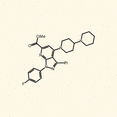 COC(=O)c1cc(N2CCC(N3CCCCC3)CC2)c2c(C(C)C)nn(-c3ccc(F)cc3)c2n1